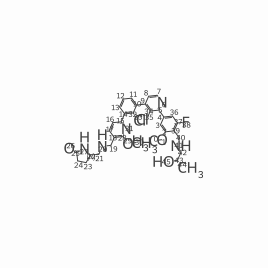 COc1cc(-c2nccc(-c3cccc(-c4ccc(CNC[C@H]5CCC(=O)N5)c(OC)n4)c3Cl)c2Cl)cc(F)c1CNCC(C)O